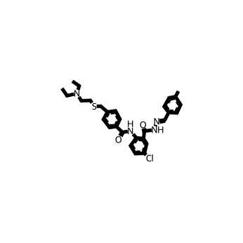 CCN(CC)CCSCc1ccc(C(=O)Nc2ccc(Cl)cc2C(=O)NN=Cc2ccc(C)cc2)cc1